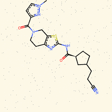 Cn1ccc(C(=O)N2CCc3nc(NC(=O)[C@H]4CCC(CCC#N)C4)sc3C2)n1